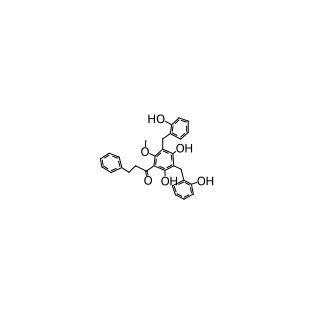 COc1c(Cc2ccccc2O)c(O)c(Cc2ccccc2O)c(O)c1C(=O)CCc1ccccc1